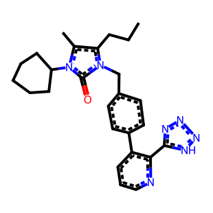 CCCc1c(C)n(C2CCCCC2)c(=O)n1Cc1ccc(-c2cccnc2-c2nnn[nH]2)cc1